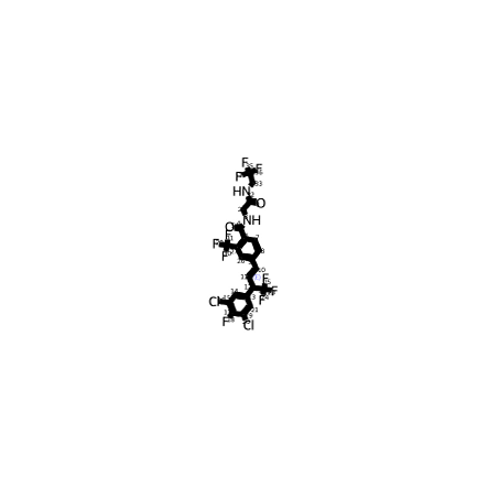 O=C(CNC(=O)c1ccc(/C=C/C(c2cc(Cl)c(F)c(Cl)c2)C(F)(F)F)cc1C(F)(F)F)NCC(F)(F)F